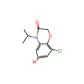 CC(C)N1C(=O)COc2c(Cl)cc(Br)cc21